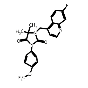 CC1(C)C(=O)N(c2ccc(OC(F)(F)F)cc2)C(=O)N1Cc1ccnc2cc(F)ccc12